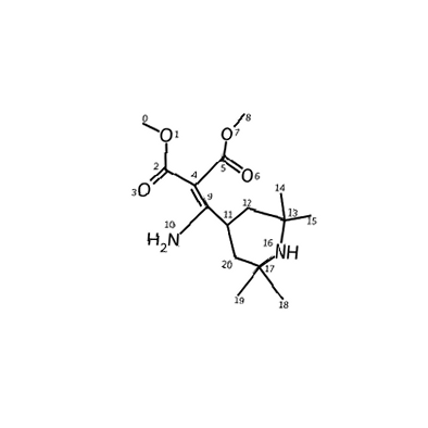 COC(=O)C(C(=O)OC)=C(N)C1CC(C)(C)NC(C)(C)C1